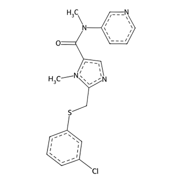 CN(C(=O)c1cnc(CSc2cccc(Cl)c2)n1C)c1cccnc1